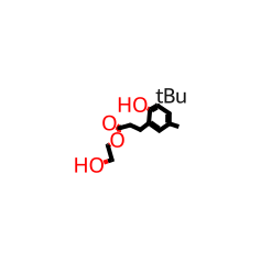 Cc1cc(CCC(=O)OCCO)c(O)c(C(C)(C)C)c1